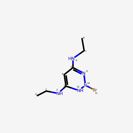 CCNC1=CC(NCC)=NN(Br)N1